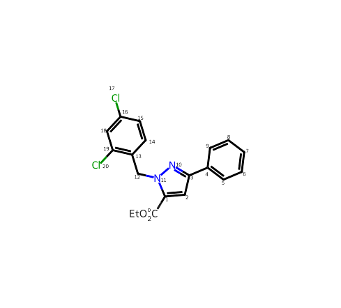 CCOC(=O)c1cc(-c2ccccc2)nn1Cc1ccc(Cl)cc1Cl